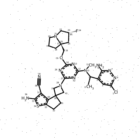 CC(c1cc(Cl)nnc1N)N(C)c1nc(OC[C@@]23CCCN2C[C@H](F)C3)nc(N2CC3(CCc4sc(N)c(C#N)c43)C2)n1